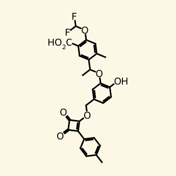 Cc1ccc(-c2c(OCc3ccc(O)c(OC(C)c4cc(C(=O)O)c(OC(F)F)cc4C)c3)c(=O)c2=O)cc1